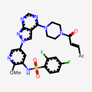 COc1ncc(-n2cc3c(N4CCN(C(=O)C=CC(C)=O)CC4)ncnc3n2)cc1NS(=O)(=O)c1ccc(F)cc1F